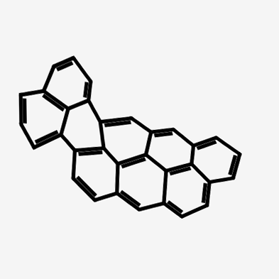 c1cc2ccc3cc4ccc5c6cccc7cccc(c8cc9cc(c1)c2c3c9c4c58)c76